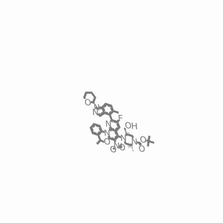 Cc1ccc2c(cnn2C2CCCCO2)c1-c1nc2c(cc1F)c(N1C[C@@H](C)N(C(=O)OC(C)(C)C)C[C@@H]1CO)c([N+](=O)[O-])c(=O)n2-c1ccccc1C(C)C